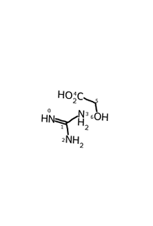 N=C(N)N.O=C(O)CO